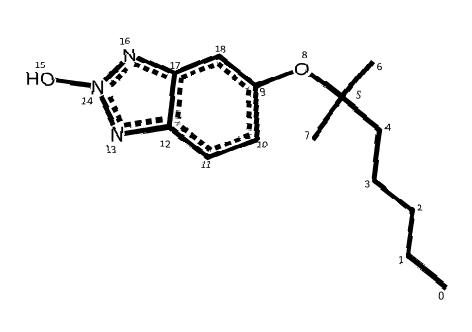 CCCCCC(C)(C)Oc1ccc2nn(O)nc2c1